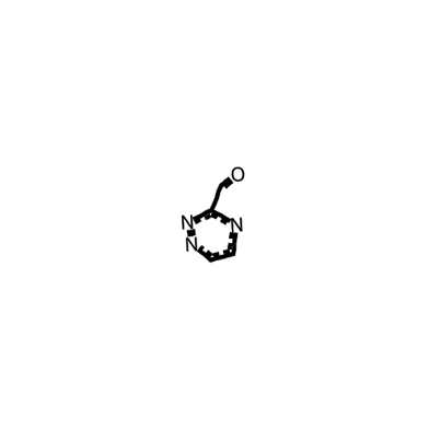 O=Cc1nccnn1